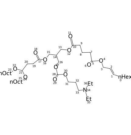 CCCCCCC=CCOC(=O)CCCC(=O)OCC(COC(=O)CCC(OCCCCCCCC)OCCCCCCCC)COC(=O)OCCCN(CC)CC